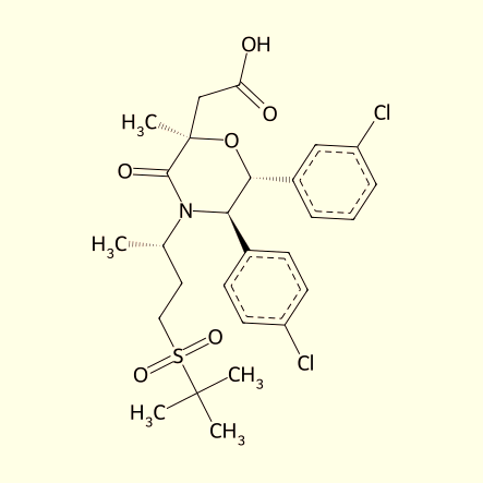 C[C@@H](CCS(=O)(=O)C(C)(C)C)N1C(=O)[C@@](C)(CC(=O)O)O[C@H](c2cccc(Cl)c2)[C@H]1c1ccc(Cl)cc1